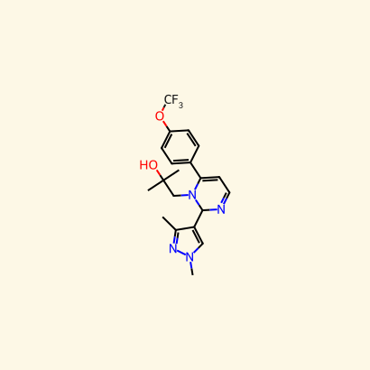 Cc1nn(C)cc1C1N=CC=C(c2ccc(OC(F)(F)F)cc2)N1CC(C)(C)O